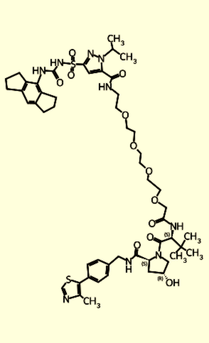 Cc1ncsc1-c1ccc(CNC(=O)[C@@H]2C[C@@H](O)CN2C(=O)[C@@H](NC(=O)COCCOCCOCCOCCNC(=O)c2cc(S(=O)(=O)NC(=O)Nc3c4c(cc5c3CCC5)CCC4)nn2C(C)C)C(C)(C)C)cc1